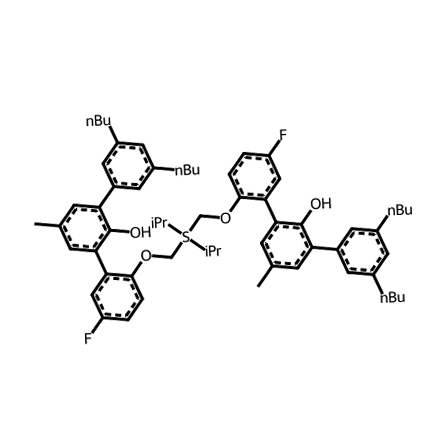 CCCCc1cc(CCCC)cc(-c2cc(C)cc(-c3cc(F)ccc3OCS(COc3ccc(F)cc3-c3cc(C)cc(-c4cc(CCCC)cc(CCCC)c4)c3O)(C(C)C)C(C)C)c2O)c1